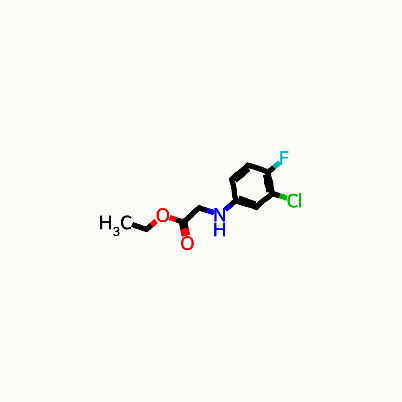 CCOC(=O)CNc1ccc(F)c(Cl)c1